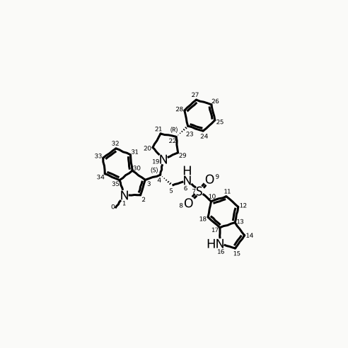 Cn1cc([C@@H](CNS(=O)(=O)c2ccc3cc[nH]c3c2)N2CC[C@H](c3ccccc3)C2)c2ccccc21